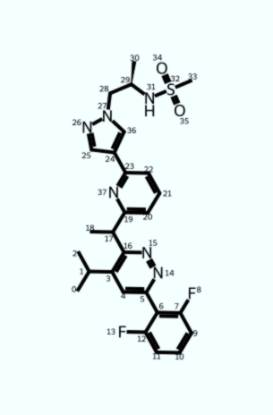 CC(C)c1cc(-c2c(F)cccc2F)nnc1C(C)c1cccc(-c2cnn(C[C@@H](C)NS(C)(=O)=O)c2)n1